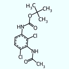 CC(=O)Nc1c(Cl)ccc(NC(=O)OC(C)(C)C)c1Cl